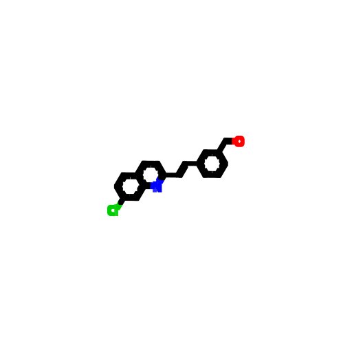 O=Cc1cccc(/C=C/c2ccc3ccc(Cl)cc3n2)c1